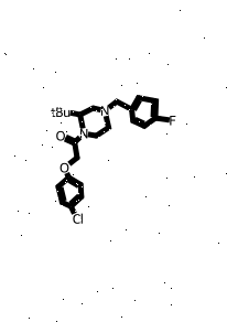 CC(C)(C)C1CN(Cc2ccc(F)cc2)CCN1C(=O)COc1ccc(Cl)cc1